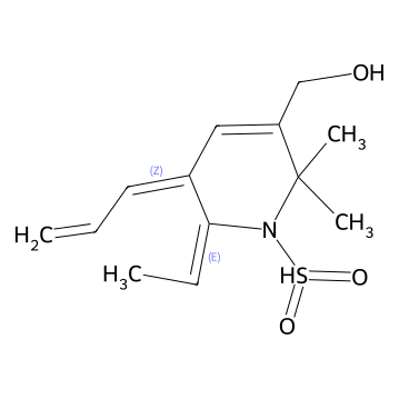 C=C/C=C1/C=C(CO)C(C)(C)N([SH](=O)=O)/C1=C/C